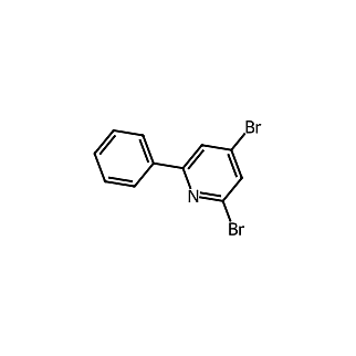 Brc1cc(Br)nc(-c2ccccc2)c1